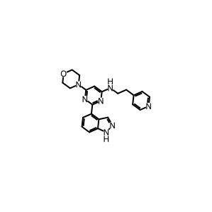 c1cc(-c2nc(NCCc3ccncc3)cc(N3CCOCC3)n2)c2cn[nH]c2c1